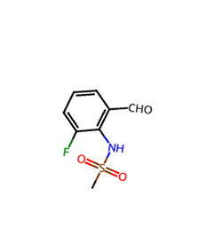 CS(=O)(=O)Nc1c(F)cccc1C=O